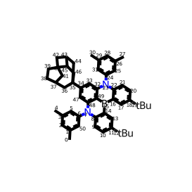 Cc1cc(C)cc(N2c3ccc(C(C)(C)C)cc3B3c4cc(C(C)(C)C)ccc4N(c4cc(C)cc(C)c4)c4cc(C56CC7CCC8(C7)CC(C5)C8C6)cc2c43)c1